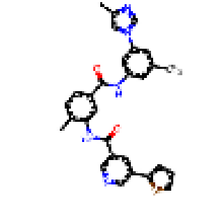 Cc1cn(-c2cc(NC(=O)c3ccc(C)c(NC(=O)c4cncc(-c5cccs5)c4)c3)cc(C(F)(F)F)c2)cn1